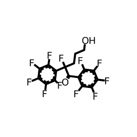 O=C(c1c(F)c(F)c(F)c(F)c1F)C(F)(CCCO)c1c(F)c(F)c(F)c(F)c1F